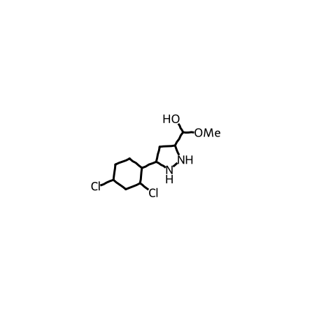 COC(O)C1CC(C2CCC(Cl)CC2Cl)NN1